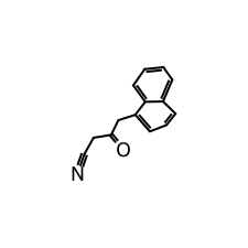 N#CCC(=O)Cc1cccc2ccccc12